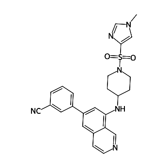 Cn1cnc(S(=O)(=O)N2CCC(Nc3cc(-c4cccc(C#N)c4)cc4ccncc34)CC2)c1